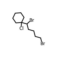 ClC1(C(Br)CCCCBr)CCCCC1